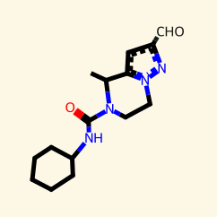 CC1c2cc(C=O)nn2CCN1C(=O)NC1CCCCC1